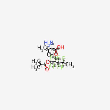 C=C(C)C(=O)OC(F)(F)C(F)(F)C(F)(F)C(C)(F)F.CC(C)[C@H](N)C(=O)O